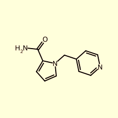 NC(=O)c1cccn1Cc1ccncc1